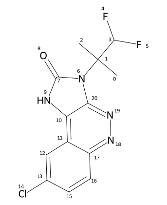 CC(C)(C(F)F)n1c(=O)[nH]c2c3cc(Cl)ccc3nnc21